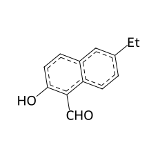 CCc1ccc2c(C=O)c(O)ccc2c1